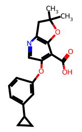 CC1(C)Cc2ncc(Oc3cccc(C4CC4)c3)c(C(=O)O)c2O1